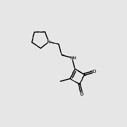 Cc1c(NCCN2CCCC2)c(=O)c1=O